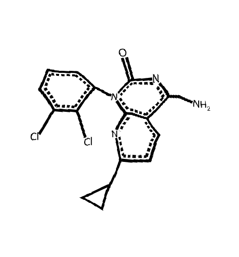 Nc1nc(=O)n(-c2cccc(Cl)c2Cl)c2nc(C3CC3)ccc12